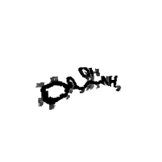 NC[C@@H](O)COc1ccccc1